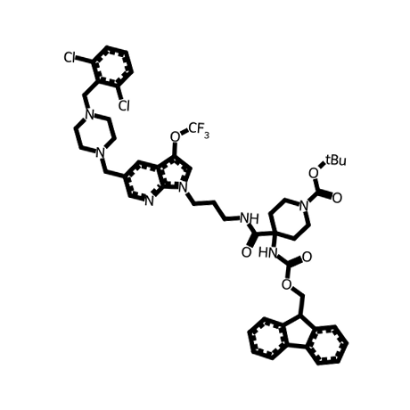 CC(C)(C)OC(=O)N1CCC(NC(=O)OCC2c3ccccc3-c3ccccc32)(C(=O)NCCCn2cc(OC(F)(F)F)c3cc(CN4CCN(Cc5c(Cl)cccc5Cl)CC4)cnc32)CC1